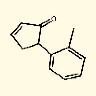 Cc1ccccc1C1CC=CC1=O